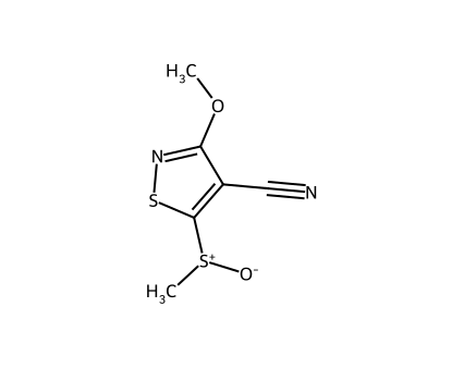 COc1nsc([S+](C)[O-])c1C#N